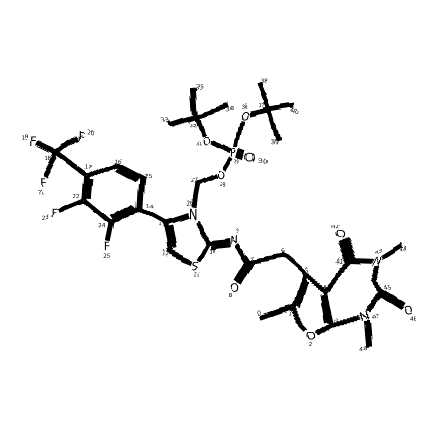 Cc1oc2c(c1CC(=O)N=c1scc(-c3ccc(C(F)(F)F)c(F)c3F)n1COP(=O)(OC(C)(C)C)OC(C)(C)C)c(=O)n(C)c(=O)n2C